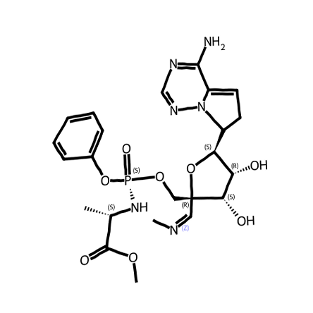 C/N=C\[C@]1(CO[P@@](=O)(N[C@@H](C)C(=O)OC)Oc2ccccc2)O[C@@H](C2CC=C3C(N)=NC=NN32)[C@H](O)[C@@H]1O